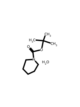 CC(C)(C)OC(=O)N1CCCCC1.O